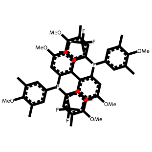 COc1cc(P(c2cc(C)c(OC)c(C)c2)c2cc(C)c(OC)c(C)c2)c(-c2c(P(c3cc(C)c(OC)c(C)c3)c3cc(C)c(OC)c(C)c3)cc(OC)c3c2OC(F)(F)O3)c2c1OC(F)(F)O2